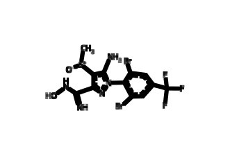 C[S+]([O-])c1c(C(=N)NO)nn(-c2c(Br)cc(C(F)(F)F)cc2Br)c1N